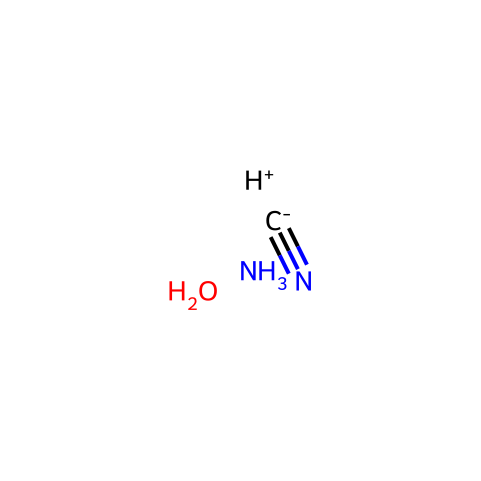 N.O.[C-]#N.[H+]